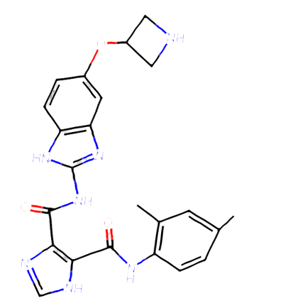 Cc1ccc(NC(=O)c2[nH]cnc2C(=O)Nc2nc3cc(OC4CNC4)ccc3[nH]2)c(C)c1